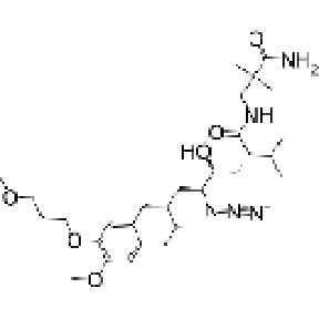 COCCCOc1cc(C[C@@H](C[C@H](N=[N+]=[N-])[C@@H](O)C[C@H](C(=O)NCC(C)(C)C(N)=O)C(C)C)C(C)C)ccc1OC